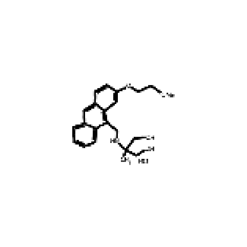 COCCOc1ccc2cc3ccccc3c(CNC(C)(CO)CO)c2c1.Cl